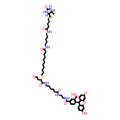 O=CCC(SCCCCCCCCCCC(=O)NCCCCCNC(=O)CCCC[C@@H]1SC[C@@H]2NC(=O)N[C@@H]21)C(=O)NCCCCCC(=O)NCCNC(=O)c1ccc(-c2c3ccc(=O)cc-3oc3cc(O)ccc23)c(C(=O)O)c1